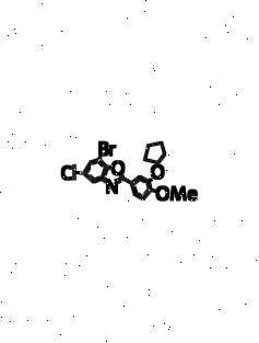 COc1ccc(-c2nc3cc(Cl)cc(Br)c3o2)cc1OC1CCCC1